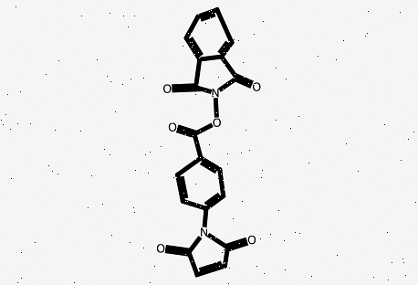 O=C(ON1C(=O)c2ccccc2C1=O)c1ccc(N2C(=O)C=CC2=O)cc1